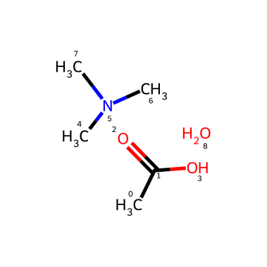 CC(=O)O.CN(C)C.O